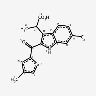 Cc1csc(C(=O)c2[nH]c3cc(Cl)ccc3c2C(C)C(=O)O)n1